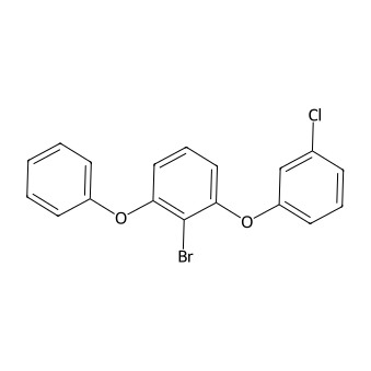 Clc1cccc(Oc2cccc(Oc3ccccc3)c2Br)c1